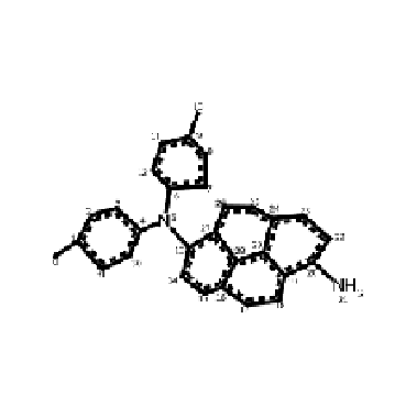 Cc1ccc(N(c2ccc(C)cc2)c2ccc3ccc4c(N)ccc5ccc2c3c54)cc1